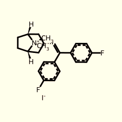 C[N+]1(C)[C@@H]2CC[C@H]1C[C@@H](C=C(c1ccc(F)cc1)c1ccc(F)cc1)C2.[I-]